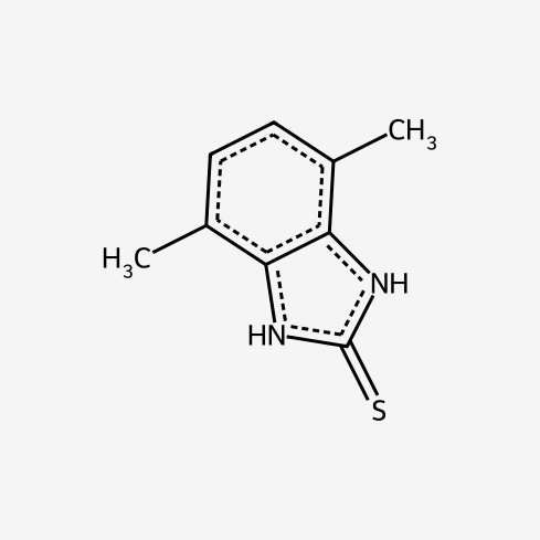 Cc1ccc(C)c2[nH]c(=S)[nH]c12